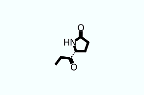 CCC(=O)[C@H]1CCC(=O)N1